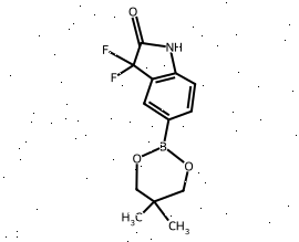 CC1(C)COB(c2ccc3c(c2)C(F)(F)C(=O)N3)OC1